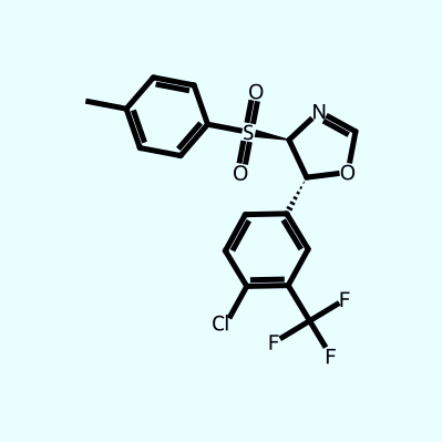 Cc1ccc(S(=O)(=O)[C@H]2N=CO[C@@H]2c2ccc(Cl)c(C(F)(F)F)c2)cc1